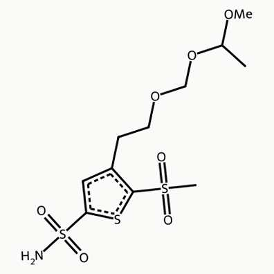 COC(C)OCOCCc1cc(S(N)(=O)=O)sc1S(C)(=O)=O